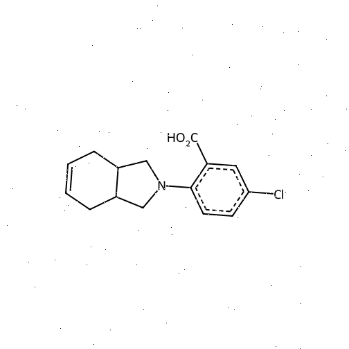 O=C(O)c1cc(Cl)ccc1N1CC2CC=CCC2C1